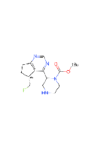 CC(C)(C)OC(=O)N1CCNCC1c1ncnc2c1[C@H](CF)CC2